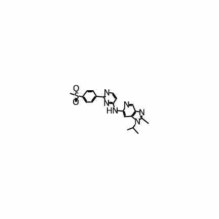 Cc1nc2cnc(Nc3ccnc(-c4ccc(S(C)(=O)=O)cc4)n3)cc2n1C(C)C